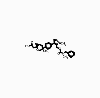 CN(Cc1ccccc1)C(=O)OCc1c(-c2ccc(C3(C)COC4(CC(=O)O)CC4C3)cc2)cnn1C